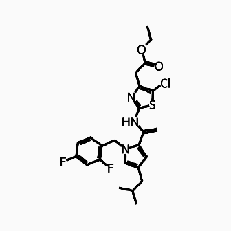 C=C(Nc1nc(CC(=O)OCC)c(Cl)s1)c1cc(CC(C)C)cn1Cc1ccc(F)cc1F